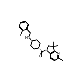 Cc1ccc2c(n1)C(C)(C)CN2C(=O)[C@H]1CC[C@H](NCc2ccccc2F)CC1